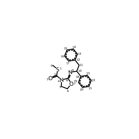 CSC(=O)N1CCO/C1=N\C(Cc1ccccc1)c1ccccc1